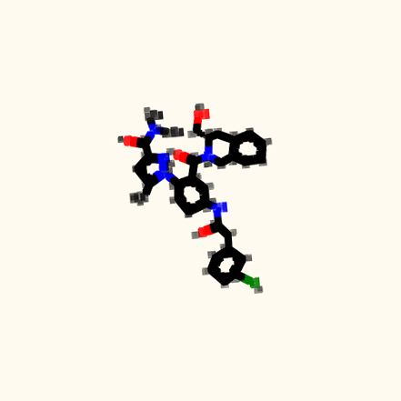 CCCCN(CCCC)C(=O)c1cc(C)n(-c2ccc(NC(=O)Cc3cccc(Cl)c3)cc2C(=O)N2Cc3ccccc3C[C@H]2CO)n1